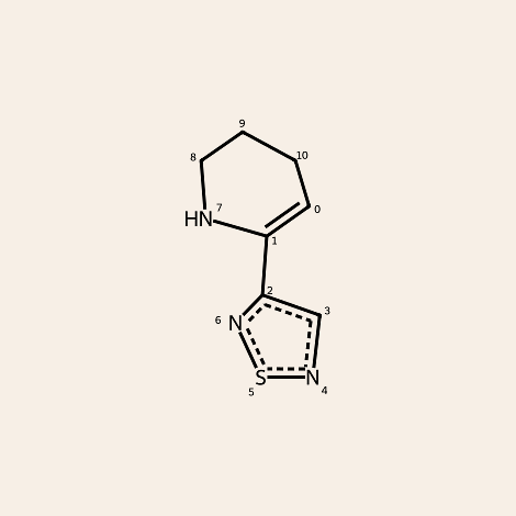 C1=C(c2cnsn2)NCCC1